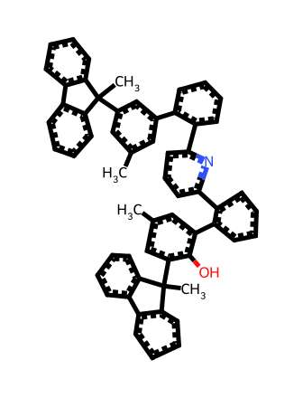 Cc1cc(-c2ccccc2-c2cccc(-c3ccccc3-c3cc(C)cc(C4(C)c5ccccc5-c5ccccc54)c3O)n2)cc(C2(C)c3ccccc3-c3ccccc32)c1